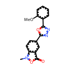 COc1ccccc1-c1nnc(-c2ccc3c(c2)c(=O)on3C)o1